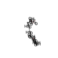 COC(=O)[C@H](CCC(=O)NCCCCCCC(=O)NCCSSC(C)CCC(=O)N1C[C@H](O)C[C@H]1COC(c1ccccc1)(c1ccc(OC)cc1)c1ccc(OC)cc1)NC(=O)c1ccc(N(Cc2cnc3nc(NC(=O)C(C)C)[nH]c(=O)c3n2)C(=O)C(F)(F)F)cc1